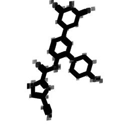 CC1CCN(c2cc(C3CC(=O)NC(=O)C3)ccc2NC(=O)c2nc(C#N)c[nH]2)CC1